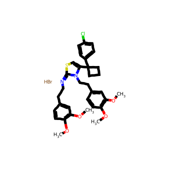 Br.COc1ccc(CCN=c2scc(C3(c4ccc(Cl)cc4)CCC3)n2CCc2ccc(OC)c(OC)c2)cc1OC